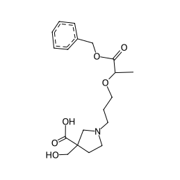 CC(OCCCN1CCC(CO)(C(=O)O)C1)C(=O)OCc1ccccc1